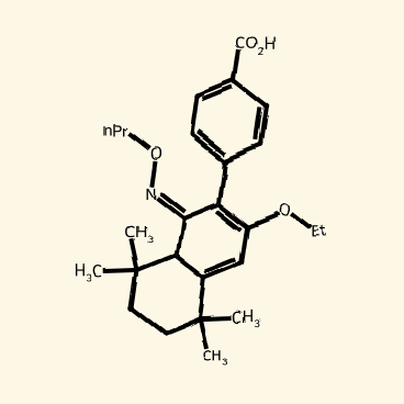 CCCON=C1C(c2ccc(C(=O)O)cc2)=C(OCC)C=C2C1C(C)(C)CCC2(C)C